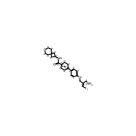 NC/C(=C\F)COc1ccc(C23CCC(C(=O)NC4CC5(CCOCC5)C4)(CC2)CC3)cc1